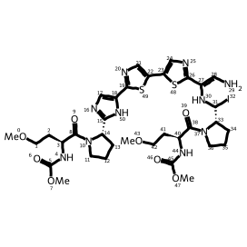 COCC[C@H](NC(=O)OC)C(=O)N1CCC[C@H]1c1ncc(-c2ncc(-c3cnc(/C(=C/N)NC(I)[C@@H]4CCCN4C(=O)[C@H](CCOC)NC(=O)OC)s3)s2)[nH]1